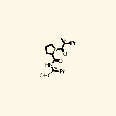 CC(C)[C@H](C)C(=O)N1CCCC1C(=O)N[C@H](C=O)C(C)C